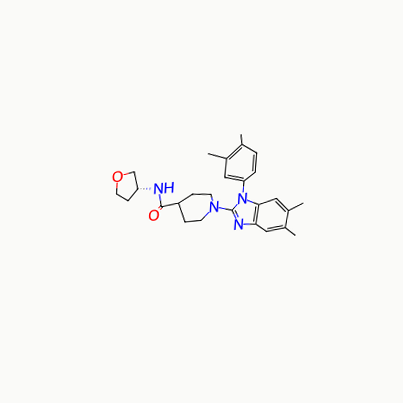 Cc1ccc(-n2c(N3CCC(C(=O)N[C@@H]4CCOC4)CC3)nc3cc(C)c(C)cc32)cc1C